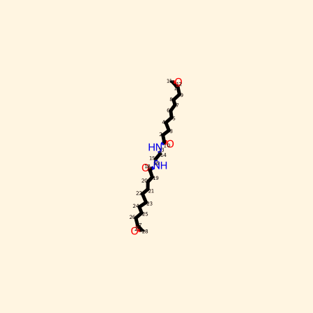 O=C(CCCCCCCCC1CO1)NCCNC(=O)CCCCCCCCC1CO1